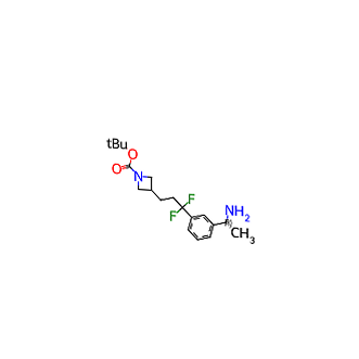 C[C@@H](N)c1cccc(C(F)(F)CCC2CN(C(=O)OC(C)(C)C)C2)c1